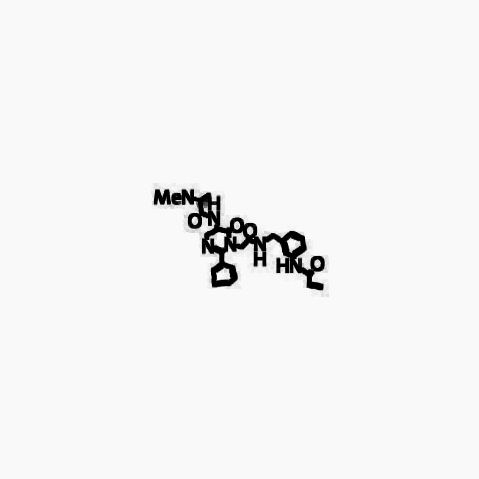 C=CC(=O)Nc1cccc(CNC(=O)CN2C(=O)C(NC(=O)[C@H](C)NC)CN=C2c2ccccc2)c1